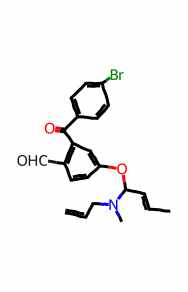 C=CCN(C)C(/C=C/C)Oc1ccc(C=O)c(C(=O)c2ccc(Br)cc2)c1